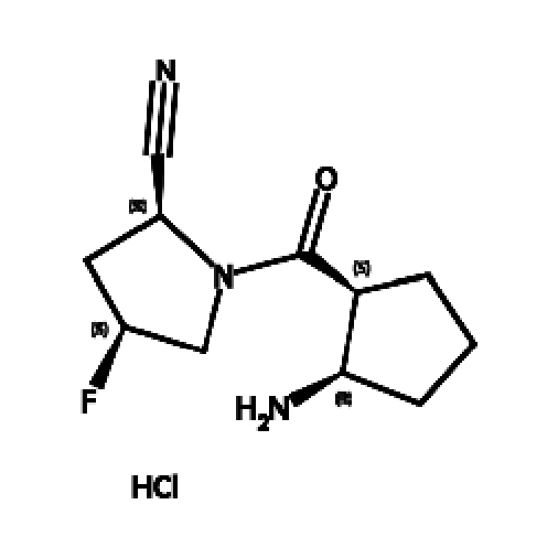 Cl.N#C[C@@H]1C[C@H](F)CN1C(=O)[C@H]1CCC[C@H]1N